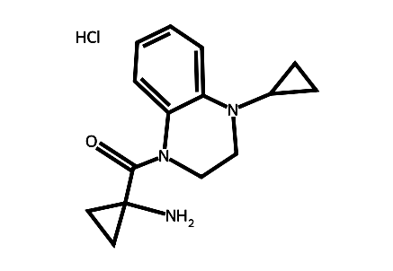 Cl.NC1(C(=O)N2CCN(C3CC3)c3ccccc32)CC1